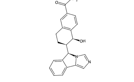 NC(=O)c1ccc2c(c1)CC[C@H]([C@@H]1c3ccccc3-c3cncn31)[C@@H]2O